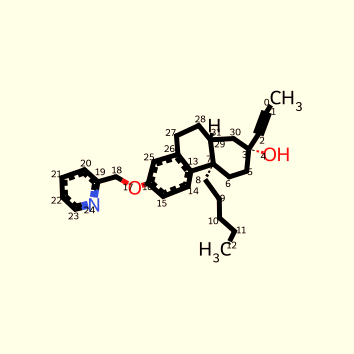 CC#C[C@@]1(O)CC[C@@]2(CCCCC)c3ccc(OCc4ccccn4)cc3CC[C@@H]2C1